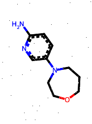 Nc1ccc(N2CCCOCC2)cn1